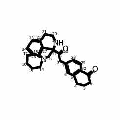 O=C1CCCc2cc(CC(=O)C3(CN4CCCCC4)NCCc4ccccc43)ccc21